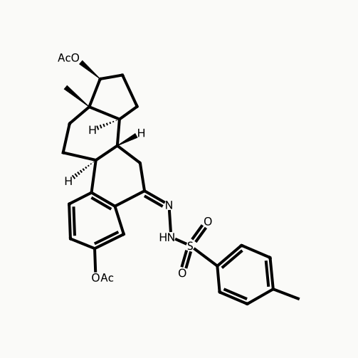 CC(=O)Oc1ccc2c(c1)/C(=N\NS(=O)(=O)c1ccc(C)cc1)C[C@@H]1[C@@H]2CC[C@]2(C)[C@@H](OC(C)=O)CC[C@@H]12